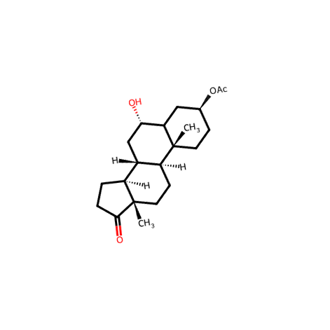 CC(=O)O[C@H]1CC[C@@]2(C)C(C1)[C@@H](O)C[C@@H]1[C@@H]2CC[C@]2(C)C(=O)CC[C@@H]12